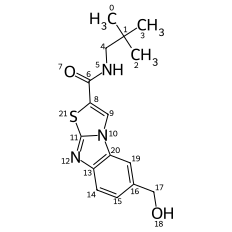 CC(C)(C)CNC(=O)c1cn2c(nc3ccc(CO)cc32)s1